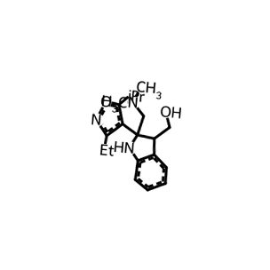 CCc1noc(C(C)C)c1C1(CN(C)C)Nc2ccccc2C1CO